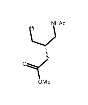 COC(=O)C[C@@H](CNC(C)=O)CC(C)C